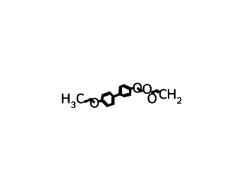 C=CC(=O)OCOc1ccc(-c2ccc(OCCC)cc2)cc1